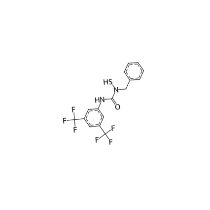 O=C(Nc1cc(C(F)(F)F)cc(C(F)(F)F)c1)N(S)Cc1ccccc1